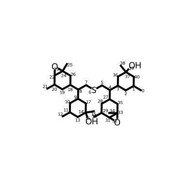 CC1CC(C(CSCC(C2CC(C)CC(C)(O)C2)C2CC(C)C3OC3(C)C2)C2CC(C)C3OC3(C)C2)CC(C)(O)C1